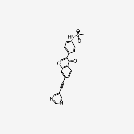 CS(=O)(=O)Nc1ccc(-c2coc3cc(C#Cc4cncnc4)ccc3c2=O)cc1